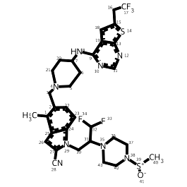 Cc1c(CN2CCC(Nc3ncnc4sc(CC(F)(F)F)cc34)CC2)ccc2c1cc(C#N)n2CC(C(F)F)N1CCN([S+](C)[O-])CC1